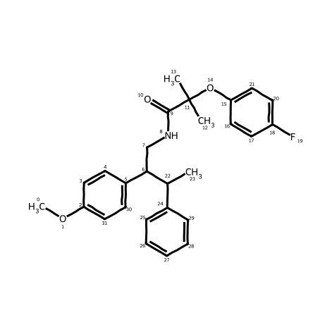 COc1ccc(C(CNC(=O)C(C)(C)Oc2ccc(F)cc2)C(C)c2ccccc2)cc1